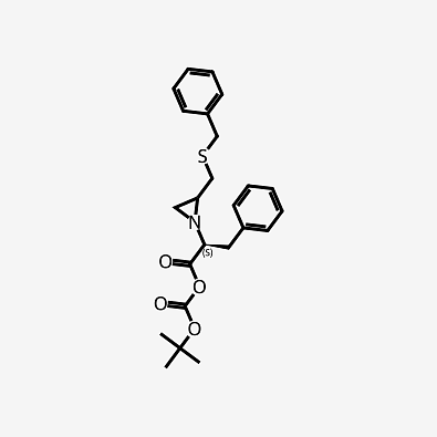 CC(C)(C)OC(=O)OC(=O)[C@H](Cc1ccccc1)N1CC1CSCc1ccccc1